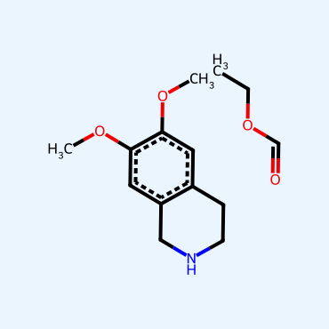 CCOC=O.COc1cc2c(cc1OC)CNCC2